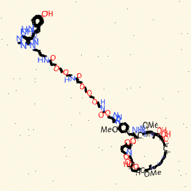 CO/N=C1/C[C@@H]([C@H](N)C[C@@H]2CC[C@H](n3cc(COC(=O)NCCOCCOCCOCCC(=O)NCCOCCOCCC(=O)NCCCCn4nc(-c5cc6cc(O)ccc6[nH]5)c5c(N)ncnc54)nn3)[C@H](OC)C2)OC(=O)[C@@H]2CCCCN2C(=O)C(=O)[C@]2(O)O[C@@H](CC[C@H]2C)C[C@H](OC)/C(C)=C/C=C/C=C/[C@@H](C)C[C@@H](C)C(=O)[C@H](O)[C@H](O)/C(C)=C/[C@H]1C